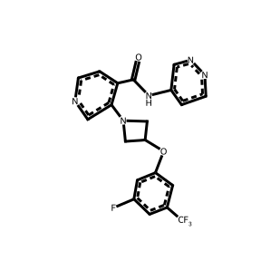 O=C(Nc1ccnnc1)c1ccncc1N1CC(Oc2cc(F)cc(C(F)(F)F)c2)C1